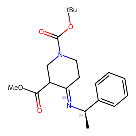 COC(=O)C1CN(C(=O)OC(C)(C)C)CC/C1=N\[C@H](C)c1ccccc1